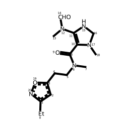 CCc1cc(CCN(C)C(=O)C2=C(N(C)C=O)NCN2C)on1